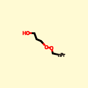 CCCCOOCCCO